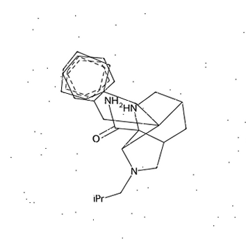 CC(C)CN1CC2CC3CNC2(C(N)=O)C1C3(Cc1ccccc1)Cc1ccccc1